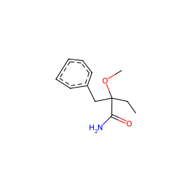 CCC(Cc1ccccc1)(OC)C(N)=O